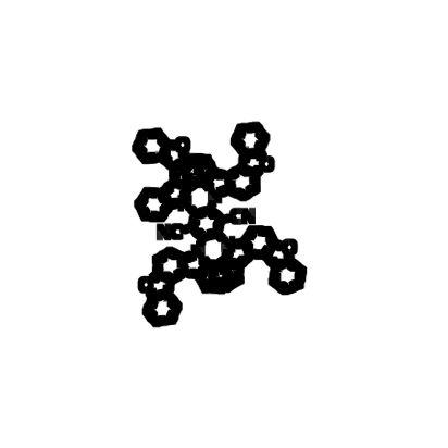 N#Cc1c(-n2c3ccccc3c3c4c(ccc32)oc2ccccc24)c(-n2c3ccccc3c3c4c(ccc32)oc2ccccc24)c(C#N)c(-n2c3ccccc3c3c4c(ccc32)oc2ccccc24)c1-n1c2ccccc2c2c3c(ccc21)oc1ccccc13